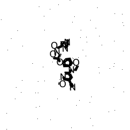 COc1ncc(N2CCOc3ccc(OC4CON(C(=O)c5cn(C)cn5)C4)cc32)cc1C#N